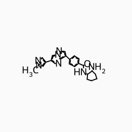 Cn1cc(-c2cnc3c(-c4ccc(C(=O)NC5CCCCC5N)cc4)cnn3c2)cn1